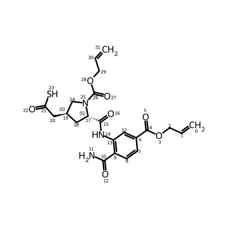 C=CCOC(=O)c1ccc(C(N)=O)c(NC(=O)[C@@H]2C[C@@H](CC(=O)S)CN2C(=O)OCC=C)c1